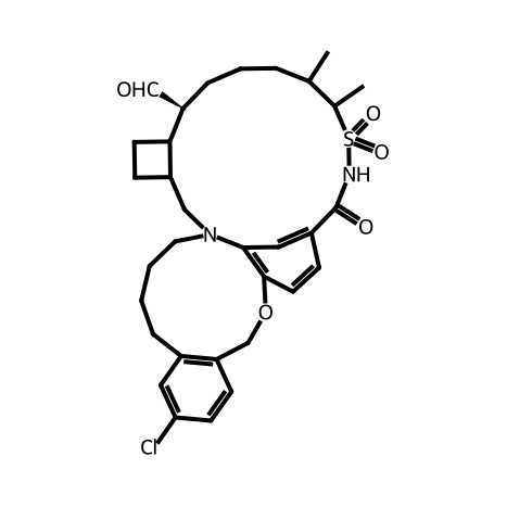 CC1CCC[C@H](C=O)C2CCC2CN2CCCCc3cc(Cl)ccc3COc3ccc(cc32)C(=O)NS(=O)(=O)C1C